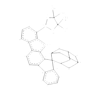 CC1(C)OB(c2cccc3c2oc2c4c(ccc23)-c2ccccc2C42C3CC4CC(C3)CC2C4)OC1(C)C